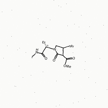 CCCC1CN([C@@H](CC)C(=O)NI)C(=O)C1C(=O)OC